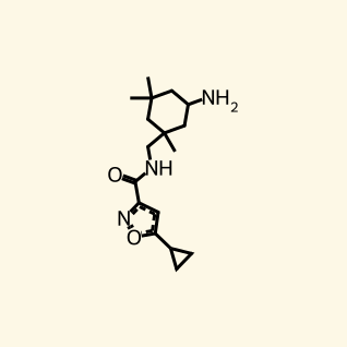 CC1(C)CC(N)CC(C)(CNC(=O)c2cc(C3CC3)on2)C1